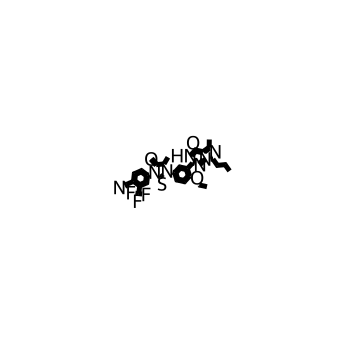 CCCc1nc(C)c2c(=O)[nH]c(-c3cc(N4C(=S)N(c5ccc(C#N)c(C(F)(F)F)c5)C(=O)C4C)ccc3OCC)nn12